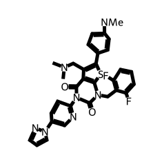 CNc1ccc(-c2sc3c(c2CN(C)C)c(=O)n(-c2ccc(-n4cccn4)cn2)c(=O)n3Cc2c(F)cccc2F)cc1